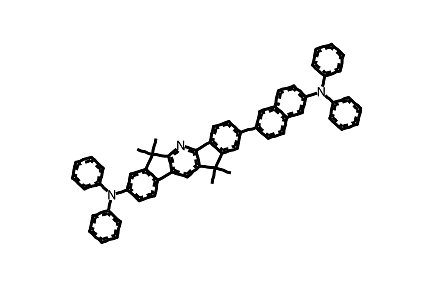 CC1(C)c2cc(-c3ccc4cc(N(c5ccccc5)c5ccccc5)ccc4c3)ccc2-c2nc3c(cc21)-c1ccc(N(c2ccccc2)c2ccccc2)cc1C3(C)C